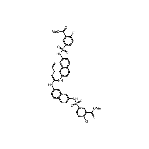 C=CCN=C(Nc1ccc2ccc(NS(=O)(=O)c3ccc(Cl)c(C(=O)OC)c3)cc2c1)Nc1ccc2ccc(NS(=O)(=O)c3ccc(Cl)c(C(=O)OC)c3)cc2c1